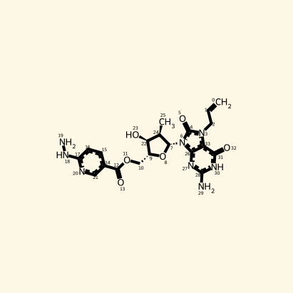 C=CCn1c(=O)n([C@@H]2O[C@H](COC(=O)c3ccc(NN)nc3)[C@@H](O)[C@H]2C)c2nc(N)[nH]c(=O)c21